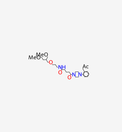 COCCC(COC)COCCCNC(=O)CCCC(=O)N1CCN(c2ccccc2CC(C)=O)CC1